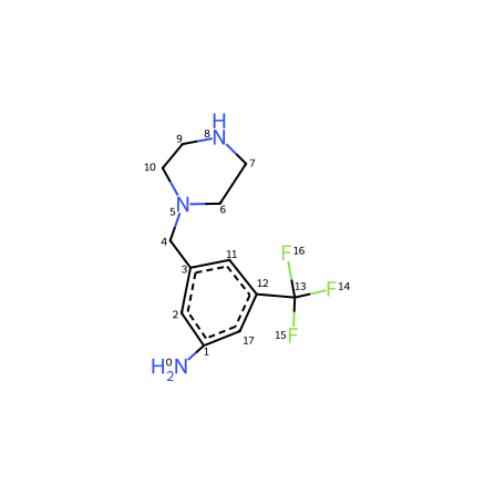 Nc1cc(CN2CCNCC2)cc(C(F)(F)F)c1